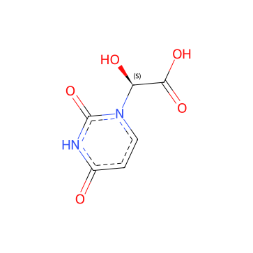 O=C(O)[C@H](O)n1ccc(=O)[nH]c1=O